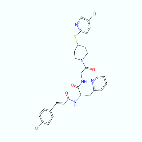 O=C(C=Cc1ccc(Cl)cc1)N[C@@H](Cc1ccccn1)C(=O)NCC(=O)N1CCC(Sc2ccc(Cl)cn2)CC1